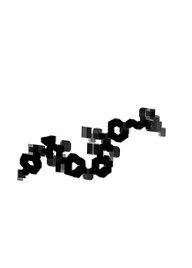 CN(C)CCN1CCC(N(C)C(=O)Nc2cc(Oc3ccc(NC(=O)C4(C(=O)Nc5ccc(F)cc5)CC4)cc3)ccn2)CC1